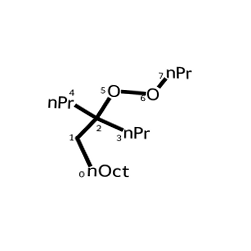 CCCCCCCCCC(CCC)(CCC)OOCCC